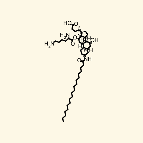 CCCCCCCCCCCCCCCCCCCC(=O)N[C@H]1CC[C@@]2(C)[C@@H](C1)C[C@@H](O)[C@@H]1[C@@H]2C[C@H](OC(=O)[C@@H](N)CCCCN)[C@]2(C)[C@@H]([C@H](C)CCC(=O)O)CC[C@@H]12